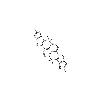 Cc1cc2sc3c(c2s1)C(C)(C)c1ccc2c4c(ccc-3c14)C(C)(C)c1c-2sc2cc(C)sc12